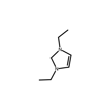 CCN1[C]N(CC)C=C1